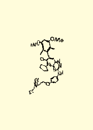 CCN(CC)CCOc1ccc(Nc2nnc3cc(-c4c(C)c(OC)cc(OC)c4C)c(=O)n(C4CCCC4)c3n2)cc1